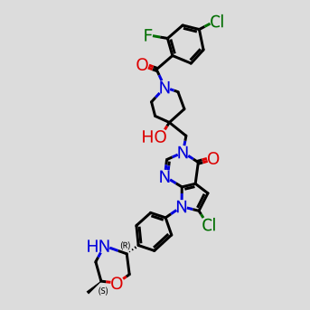 C[C@H]1CN[C@H](c2ccc(-n3c(Cl)cc4c(=O)n(CC5(O)CCN(C(=O)c6ccc(Cl)cc6F)CC5)cnc43)cc2)CO1